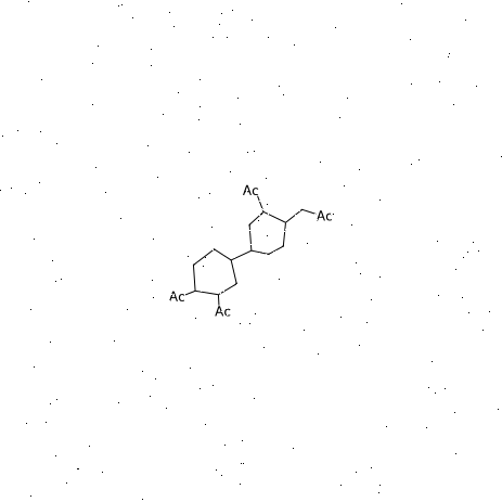 CC(=O)CC1CCC(C2CCC(C(C)=O)C(C(C)=O)C2)CC1C(C)=O